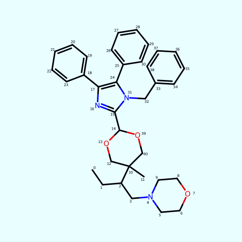 CCC(CN1CCOCC1)C1(C)COC(c2nc(-c3ccccc3)c(-c3ccccc3)n2Cc2ccccc2)OC1